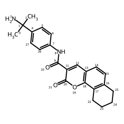 CC(C)(N)c1ccc(NC(=O)c2cc3ccc4c(c3oc2=O)CCCC4)cc1